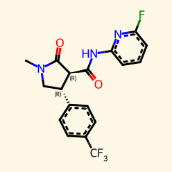 CN1C[C@@H](c2ccc(C(F)(F)F)cc2)[C@H](C(=O)Nc2cccc(F)n2)C1=O